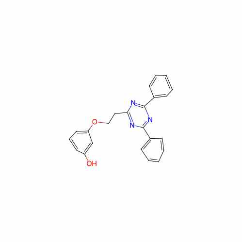 Oc1cccc(OCCc2nc(-c3ccccc3)nc(-c3ccccc3)n2)c1